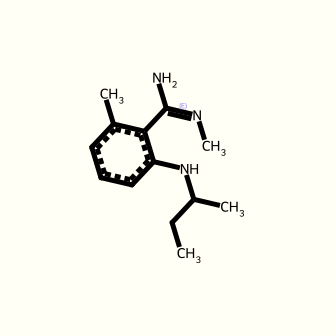 CCC(C)Nc1cccc(C)c1/C(N)=N\C